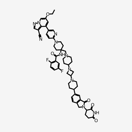 CCOc1cc(-c2ccc(N3CCC(CN4CCC(N5CC(N6CCC(c7ccc8c(c7)C(=O)N(C7CCC(=O)NC7=O)C8)CC6)C5)CC4)(NC(=O)c4cc(F)ccc4F)CC3)nc2)c2c(C#N)cnn2c1